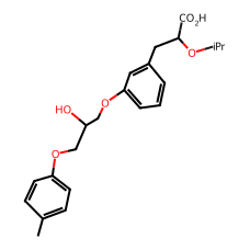 Cc1ccc(OCC(O)COc2cccc(CC(OC(C)C)C(=O)O)c2)cc1